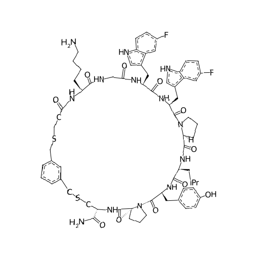 CC(C)C[C@@H]1NC(=O)[C@@H]2CCCN2C(=O)[C@H](Cc2c[nH]c3ccc(F)cc23)NC(=O)[C@H](Cc2c[nH]c3ccc(F)cc23)NC(=O)CNC(=O)[C@H](CCCCN)NC(=O)CCSCc2cccc(c2)CSC[C@@H](C(N)=O)NC(=O)[C@]2(C)CCCN2C(=O)[C@H](Cc2ccc(O)cc2)NC1=O